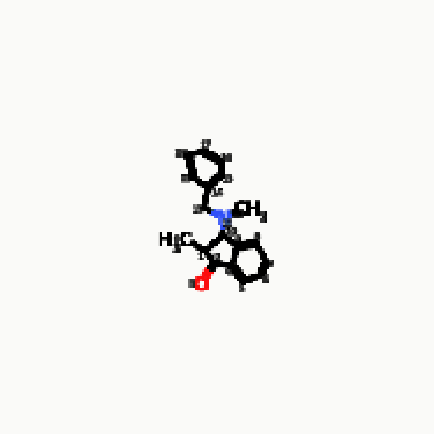 CC1C(=O)c2ccccc2C1N(C)Cc1ccccc1